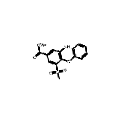 COC(=O)c1cc(N)c(Oc2ccccc2)c(S(C)(=O)=O)c1